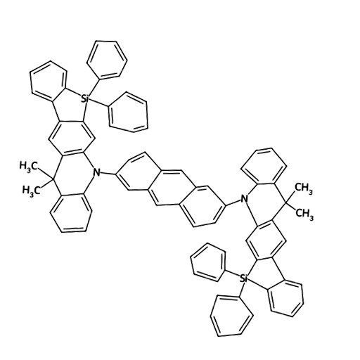 CC1(C)c2ccccc2N(c2ccc3cc4cc(N5c6ccccc6C(C)(C)c6cc7c(cc65)[Si](c5ccccc5)(c5ccccc5)c5ccccc5-7)ccc4cc3c2)c2cc3c(cc21)-c1ccccc1[Si]3(c1ccccc1)c1ccccc1